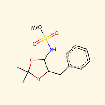 COS(=O)(=O)NC1OC(C)(C)OC1Cc1ccccc1